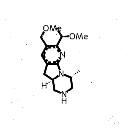 COCc1cc2c(nc1[C@@H](C)OC)N1[C@@H](CNC[C@H]1C)C2